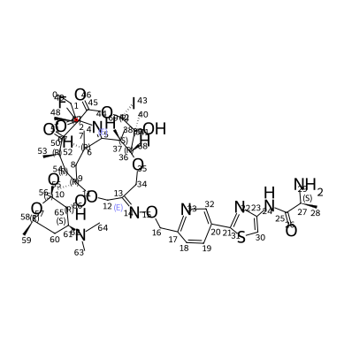 CCC(=O)/N=C1\[C@H](C)C[C@@]2(C)OC/C(=N/OCc3ccc(-c4nc(NC(=O)[C@H](C)N)cs4)cn3)CO[C@H]([C@H]1C)[C@](C)(O)[C@@H](I)OC(=O)[C@@](C)(F)C(=O)[C@H](C)[C@H]2O[C@@H]1O[C@H](C)C[C@H](N(C)C)[C@H]1O